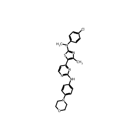 Cc1nc(N(C)c2ccc(Cl)cc2)sc1-c1ccnc(Nc2ccc(N3CCOCC3)cc2)n1